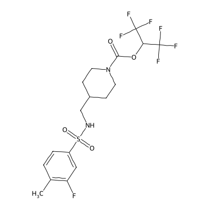 Cc1ccc(S(=O)(=O)NCC2CCN(C(=O)OC(C(F)(F)F)C(F)(F)F)CC2)cc1F